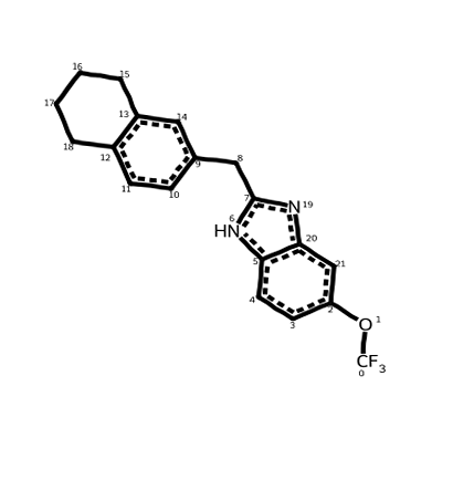 FC(F)(F)Oc1ccc2[nH]c(Cc3ccc4c(c3)CCCC4)nc2c1